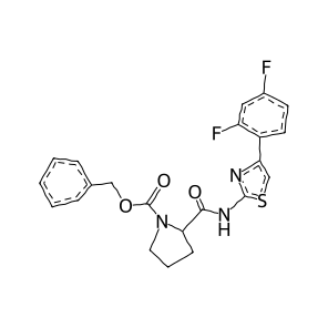 O=C(Nc1nc(-c2ccc(F)cc2F)cs1)C1CCCN1C(=O)OCc1ccccc1